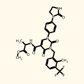 COC(=O)C(C)NC(=O)c1cn(-c2ccc(N3CCNC3=O)cc2)c(=O)n(Cc2cccc(C(F)(F)F)c2C)c1=O